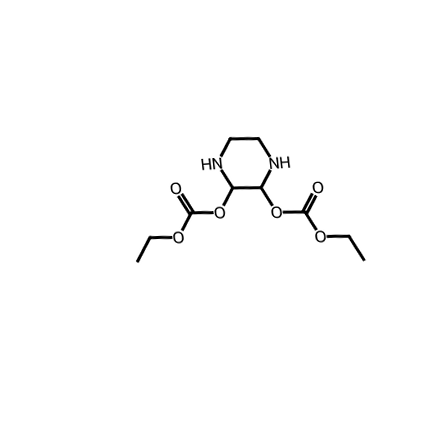 CCOC(=O)OC1NCCNC1OC(=O)OCC